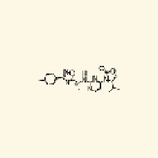 Cc1ccc(-c2noc([C@@H](C)Nc3nccc(N4C(=O)OCC4C(C)C)n3)n2)cc1